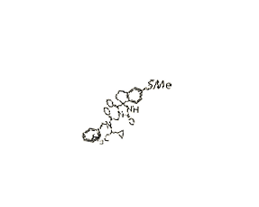 CSc1ccc2c(c1)CCC21NC(=O)N(CC(=O)N(Cc2ccccc2)C(C)C2CC2)C1=O